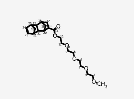 COCCOCCOCCOCCOC(=O)C1CC2CC1C1C3C=CC(C3)C21